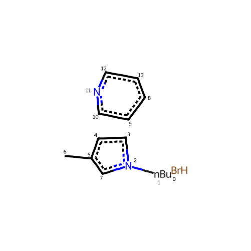 Br.CCCCn1ccc(C)c1.c1ccncc1